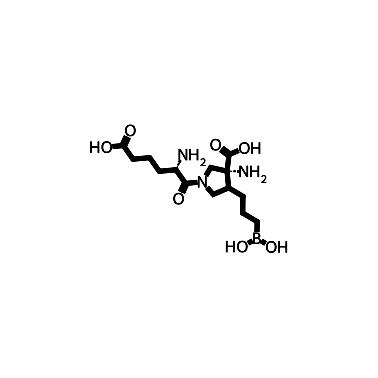 N[C@@H](CCCC(=O)O)C(=O)N1CC(CCCB(O)O)[C@](N)(C(=O)O)C1